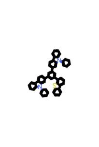 c1ccc(-n2c3ccccc3c3ccc(-c4cc(-c5ccc6c7ccccc7n(-c7ccccc7)c6c5)cc(-c5cccc6c5sc5ccccc56)c4)cc32)cc1